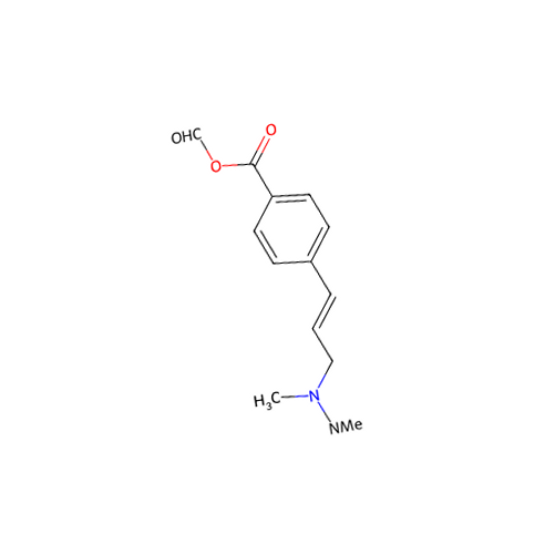 CNN(C)CC=Cc1ccc(C(=O)OC=O)cc1